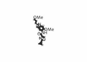 COCCCn1cc2cc(NC(=O)c3coc(C4CC4)n3)c(OC)cc2n1